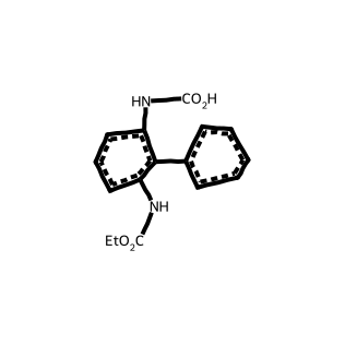 CCOC(=O)Nc1cccc(NC(=O)O)c1-c1ccccc1